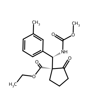 CCOC(=O)[C@@]1([C@@H](NC(=O)OC)c2cccc(C)c2)CCCC1=O